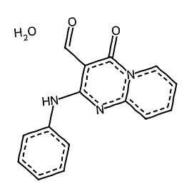 O.O=Cc1c(Nc2ccccc2)nc2ccccn2c1=O